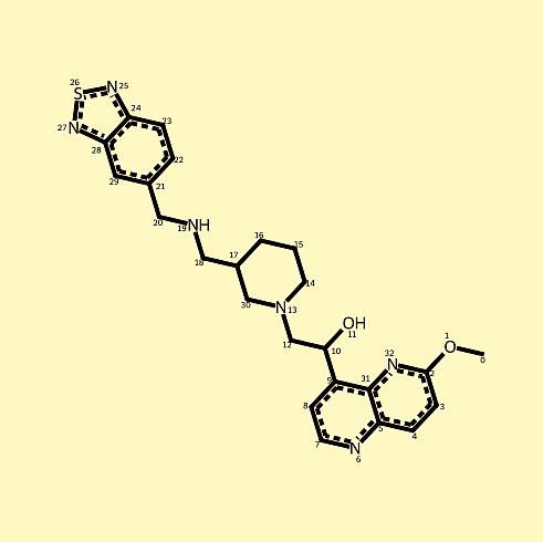 COc1ccc2nccc(C(O)CN3CCCC(CNCc4ccc5nsnc5c4)C3)c2n1